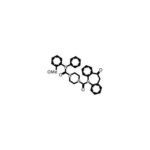 COc1ccccc1N(C(=O)N1CCN(C(=O)N2c3ccccc3CC(=O)c3ccccc32)CC1)c1ccccc1